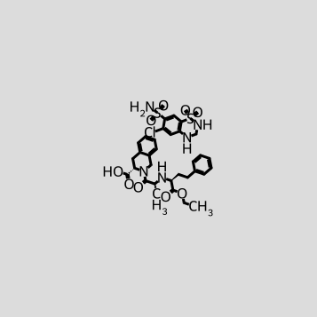 CCOC(=O)[C@H](CCc1ccccc1)N[C@@H](C)C(=O)N1Cc2ccccc2C[C@H]1C(=O)O.NS(=O)(=O)c1cc2c(cc1Cl)NCNS2(=O)=O